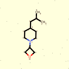 CC(C)CC1CCN(C2COC2)CC1